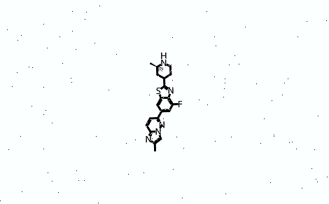 Cc1cn2nc(-c3cc(F)c4nc(C5CCN[C@H](C)C5)sc4c3)ccc2n1